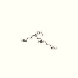 CN(CCCC(C)(C)C)CCNCCCC(C)(C)C